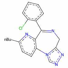 CCCCc1ccc2c(n1)C(c1ccccc1Cl)=NCc1nncn1-2